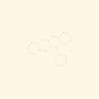 Clc1ccccc1-c1c2ccccc2nc2cc3ccccc3cc12